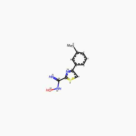 CSc1cccc(-c2csc(C(=N)NO)n2)c1